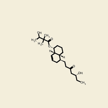 CC[C@@H](O)CC(=O)CC[C@H]1CC=C[C@H]2[C@@H]1CCC[C@H]2OC(=O)C(C)(C)C(C)O